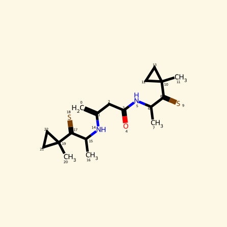 C=C(CC(=O)NC(C)C(=S)C1(C)CC1)NC(C)C(=S)C1(C)CC1